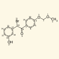 COCOc1ccc(C(=O)C(Br)c2cccc(O)c2)cc1